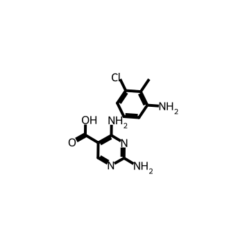 Cc1c(N)cccc1Cl.Nc1ncc(C(=O)O)c(N)n1